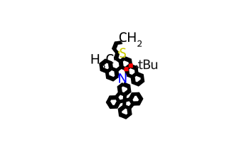 C=C/C=C\c1sc2cccc(-c3c(N(c4ccc5c(c4)-c4ccccc4C54c5ccccc5-c5ccccc54)c4ccc(C(C)(C)C)c5ccccc45)ccc4ccccc34)c2c1C